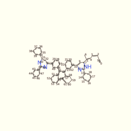 C#C/C=C\C=C(/C)C(=N)/C=C(\N=C\c1ccccc1)c1cccc(-c2c(-c3cccc(-c4cc(-c5ccccc5)nc(-c5ccccc5)n4)c3)c3ccccc3c3c2=CCCC=3)c1